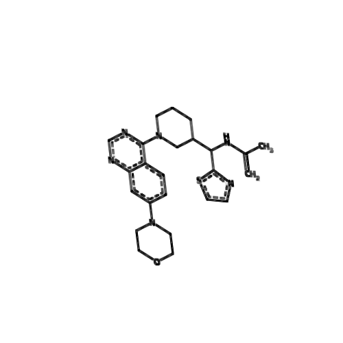 C=C(C)NC(c1nccs1)C1CCCN(c2ncnc3cc(N4CCOCC4)ccc23)C1